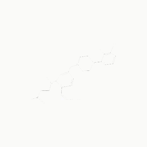 C=C(C)CCN(C)c1cc(CN2CCN(c3cccc(Cl)c3C)CC2)ccc1/C=C\C=O